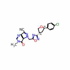 Cn1cnc2c(C#N)nn(Cc3nc([C@@H]4CO[C@@H](c5ccc(Cl)cc5)C4)no3)c2c1=O